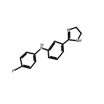 Fc1ccc(Nc2cccc(C3=NCCN3)c2)cc1